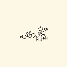 N#CC[C@@]1(n2nc(Nc3ccc4c(c3)CN(C3CCNCC3)S4(=O)=O)c3c(=O)[nH]ccc32)CCOC[C@@H]1F